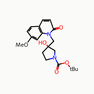 COc1ccc2ccc(=O)n(CC3(O)CCN(C(=O)OC(C)(C)C)C3)c2c1